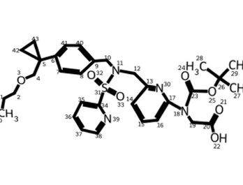 CCCOCC1(c2ccc(CN(Cc3cccc(N(CC(=O)O)C(=O)OC(C)(C)C)n3)S(=O)(=O)c3ccccn3)cc2)CC1